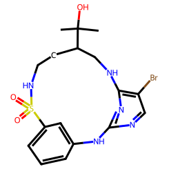 CC(C)(O)C1CCNS(=O)(=O)c2cccc(c2)Nc2ncc(Br)c(n2)NC1